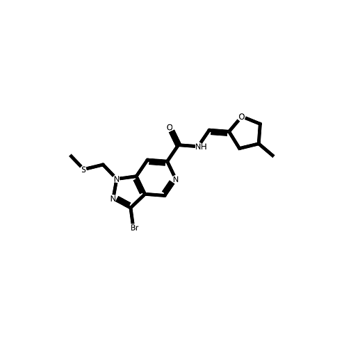 CSCn1nc(Br)c2cnc(C(=O)N/C=C3\CC(C)CO3)cc21